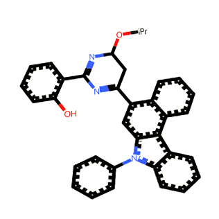 CC(C)OC1CC(c2cc3c(c4ccccc24)c2ccccc2n3-c2ccccc2)=NC(c2ccccc2O)=N1